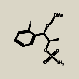 COCO[C@H](c1ccccc1I)[C@@H](C)OS(N)(=O)=O